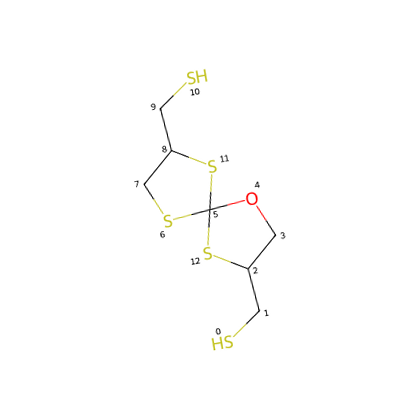 SCC1COC2(SCC(CS)S2)S1